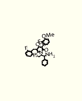 COc1cccc(-c2c(C)c(Cc3c(F)cccc3F)c3n(c2=O)C(C(N)c2ccccc2)CS3)c1F